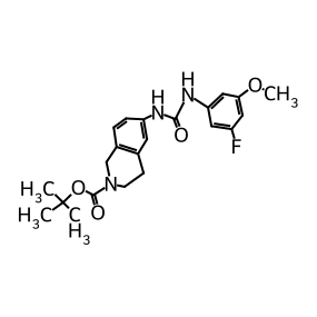 COc1cc(F)cc(NC(=O)Nc2ccc3c(c2)CCN(C(=O)OC(C)(C)C)C3)c1